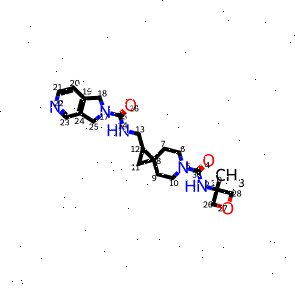 CC1(NC(=O)N2CCC3(CC2)CC3CNC(=O)N2Cc3ccncc3C2)COC1